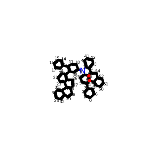 c1ccc(-c2ccc(N(c3ccc(-c4ccccc4)c(-c4cccc5c4ccc4ccc6ccccc6c45)c3)c3ccccc3-c3ccc4ccccc4c3)cc2)cc1